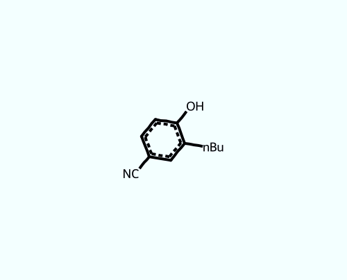 CCCCc1cc(C#N)ccc1O